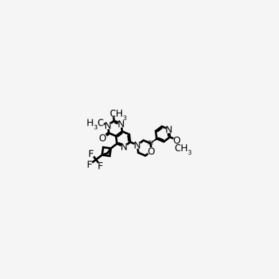 COc1cc([C@@H]2CN(c3cc4nc(C)n(C)c(=O)c4c(C45CC(C(F)(F)F)(C4)C5)n3)CCO2)ccn1